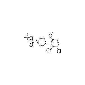 COc1ccc(Cl)c(Cl)c1C1CCN(C(=O)OC(C)(C)C)CC1